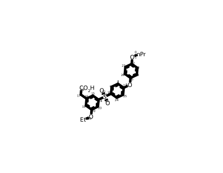 CCCOc1ccc(Oc2ccc(S(=O)(=O)c3cc(CC(=O)O)cc(OCC)c3)cc2)cc1